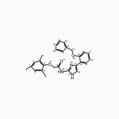 Cc1cc(C)c(OCC(=O)Nc2nc(-c3ccccc3OCc3ccccc3)c[nH]2)c(C)c1